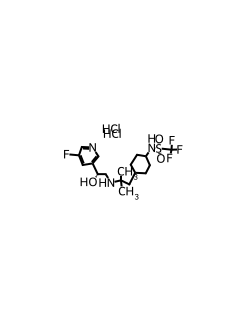 CC(C)(CC1CCC(NS(=O)(=O)C(F)(F)F)CC1)NC[C@H](O)c1cncc(F)c1.Cl.Cl